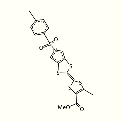 COC(=O)C1=C(C)SC(=C2Sc3cn(S(=O)(=O)c4ccc(C)cc4)cc3S2)S1